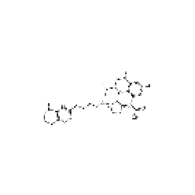 CC(C)C1CN(C)c2cc(F)cc([C@H](C(=O)O)N3CC[C@@H](OCCCCc4ccc5c(n4)NCCC5)C3)c2O1